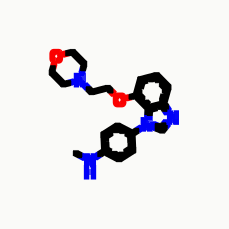 CNc1ccc(-n2cnc3cccc(OCCN4CCOCC4)c32)cc1